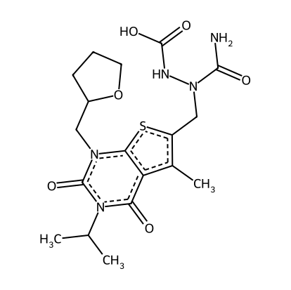 Cc1c(CN(NC(=O)O)C(N)=O)sc2c1c(=O)n(C(C)C)c(=O)n2CC1CCCO1